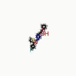 Cc1ccc(C(OCCN2CCN(CC(O)COc3ccccc3)CC2)c2ccc(F)cc2)s1